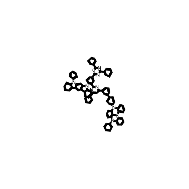 c1ccc(-c2cc(-c3cccc(-c4ccc(N5c6ccccc6B6c7ccccc7N(c7ccccc7)c7cccc5c76)cc4)c3)nc(-c3cc(-c4nc(-c5ccccc5)nc(-c5ccccc5)n4)ccc3-n3c4ccccc4c4cc5c6ccccc6n(-c6ccccc6)c5cc43)n2)cc1